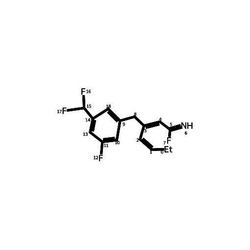 CC/C=C\C(=C/C(=N)F)Cc1cc(F)cc(C(F)F)c1